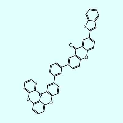 O=c1c2cc(-c3cccc(-c4ccc5c(c4)N4c6ccccc6Oc6cccc(c64)O5)c3)ccc2oc2ccc(-c3cc4ccccc4s3)cc12